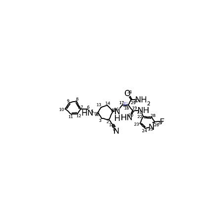 N#CC1C[C@H](NCc2ccccc2)CC[C@@H]1N/C=C(\C(=N)Nc1ccnc(F)c1)C(N)=O